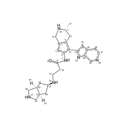 C[C@@H]1Cc2c(sc(NC(=O)CCN[C@H]3C[C@H]4CNC[C@H]4C3)c2-c2nc3cnccc3s2)CN1